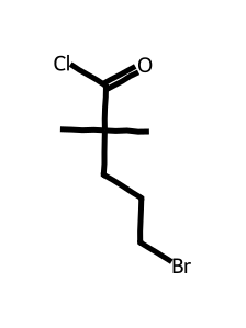 CC(C)(CCCBr)C(=O)Cl